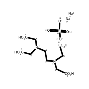 O=C(O)CN(CCN(CC(=O)O)CC(=O)O)CC(=O)O.O=S(=O)([O-])[O-].[Na+].[Na+]